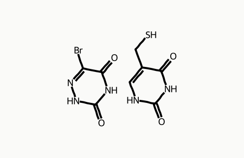 O=c1[nH]cc(CS)c(=O)[nH]1.O=c1[nH]nc(Br)c(=O)[nH]1